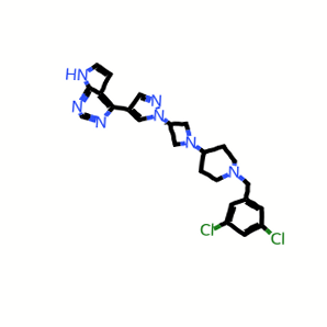 Clc1cc(Cl)cc(CN2CCC(N3C[C](n4cc(-c5ncnc6[nH]ccc56)cn4)C3)CC2)c1